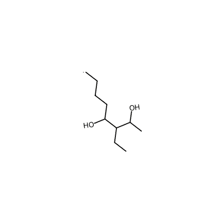 [CH2]CCCC(O)C(CC)C(C)O